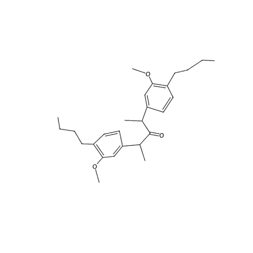 CCCCc1ccc(C(C)C(=O)C(C)c2ccc(CCCC)c(OC)c2)cc1OC